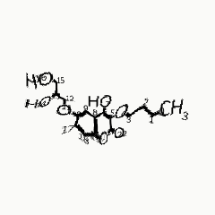 CCCCOc1c(O)c2cc(OCC(O)CO)ccc2oc1=O